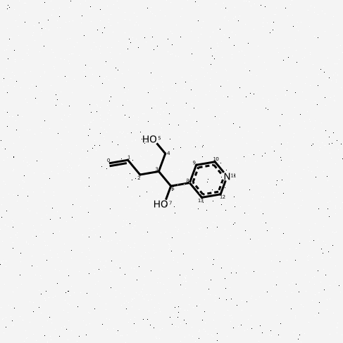 C=CCC(CO)C(O)c1ccncc1